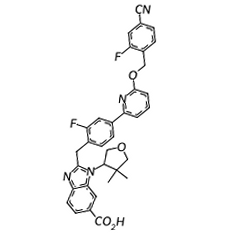 CC1(C)COCC1n1c(Cc2ccc(-c3cccc(OCc4ccc(C#N)cc4F)n3)cc2F)nc2ccc(C(=O)O)cc21